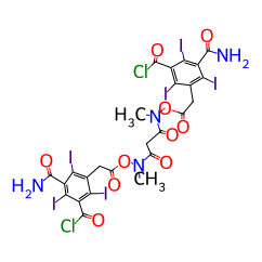 CN(OC(=O)Cc1c(I)c(C(N)=O)c(I)c(C(=O)Cl)c1I)C(=O)CC(=O)N(C)OC(=O)Cc1c(I)c(C(N)=O)c(I)c(C(=O)Cl)c1I